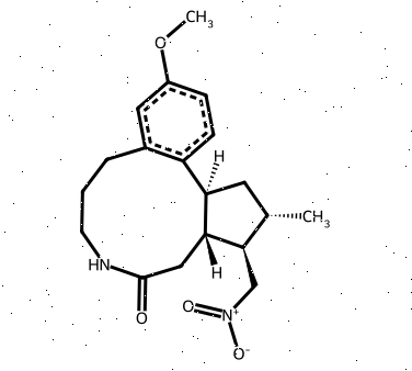 COc1ccc2c(c1)CCCNC(=O)C[C@H]1[C@H](C[N+](=O)[O-])[C@@H](C)C[C@H]21